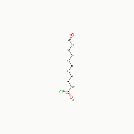 O=CCCCCCCCCCC(=O)Cl